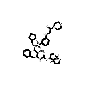 O=C(N[C@@H](Cc1ccccc1)[C@H](O)CN(OC1CCCC1)S(=O)(=O)c1cccc(NCC(=O)N2CCOCC2)c1)O[C@@H]1CO[C@@H]2OCC[C@@H]21